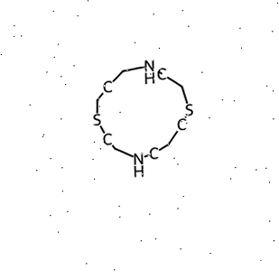 C1CNCCSCCCNCCSC1